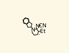 CCC1[CH]CCN(C2Cc3ccccc3C2)C1=NC#N